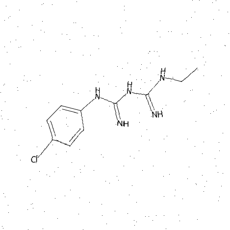 CCNC(=N)NC(=N)Nc1ccc(Cl)cc1